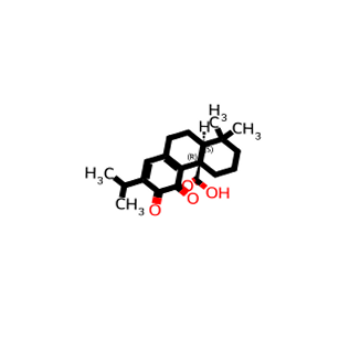 CC(C)C1=CC2=C(C(=O)C1=O)[C@@]1(C(=O)O)CCCC(C)(C)[C@@H]1CC2